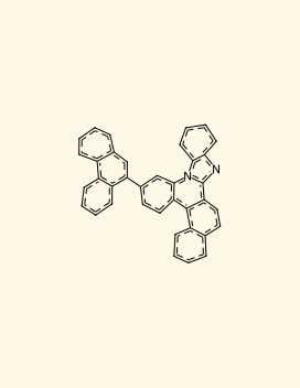 c1ccc2c(c1)cc(-c1ccc3c4c5ccccc5ccc4c4nc5ccccc5n4c3c1)c1ccccc12